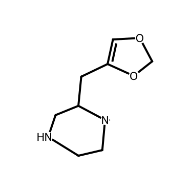 C1=C(CC2CNCC[N]2)OCO1